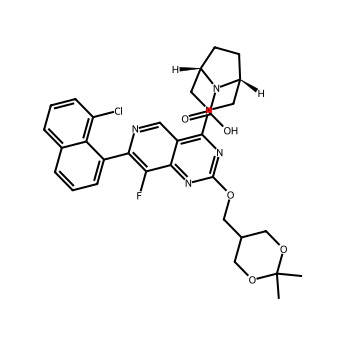 CC1(C)OCC(COc2nc(N3C[C@H]4CC[C@@H](C3)N4C(=O)O)c3cnc(-c4cccc5cccc(Cl)c45)c(F)c3n2)CO1